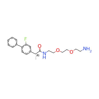 C[C@@H](C(=O)NCCOCCOCCN)c1ccc(-c2ccccc2)c(F)c1